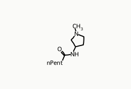 CCCCCC(=O)NC1CCN(C)C1